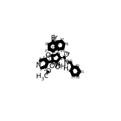 COc1cncc2c1[C@]1(O)[C@H](O)[C@H](C(=O)NCc3ccccc3)[C@@H](c3ccccc3)[C@]1(c1ccc(Br)cc1)O2